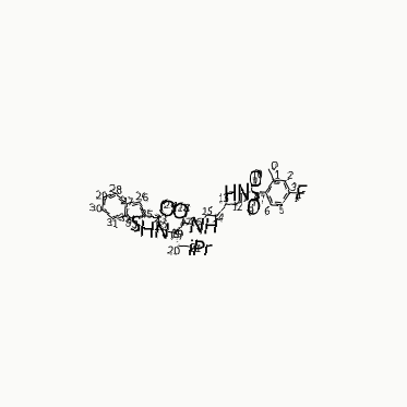 Cc1cc(F)ccc1S(=O)(=O)NCCCCNC(=O)[C@H](CC(C)C)NC(=O)c1cc2ccccc2s1